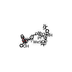 CSSC(C)C(C)OC(=O)O[C@@H]1C[C@@H](C(=O)N[C@@H](C)c2ccc(-c3scnc3C)cc2)N(C(=O)[C@@H](c2cc(OCCN3CCN(CCOc4cc(N5C6CCC5CN(c5cc(-c7ccccc7O)nnc5N)C6)ccn4)[C@H](C)C3)no2)C(C)C)C1